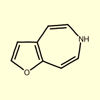 C1=Cc2ccoc2C=CN1